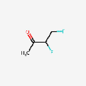 CC(=O)C(F)CF